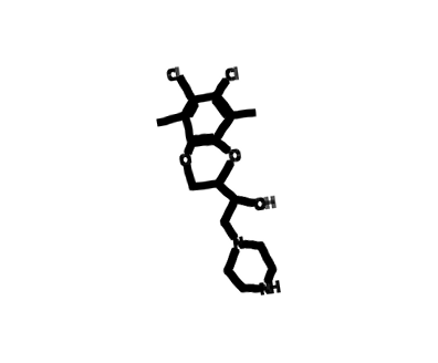 Cc1c(Cl)c(Cl)c(C)c2c1OCC(C(O)CN1CCNCC1)O2